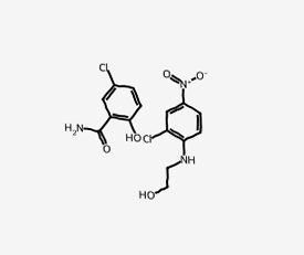 NC(=O)c1cc(Cl)ccc1O.O=[N+]([O-])c1ccc(NCCO)c(Cl)c1